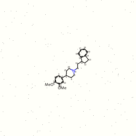 COc1ccc(C2CCN(CCC3CCc4ccccc43)CC2)cc1OC